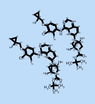 CC(C)(C)OC(=O)N1C[C@@H]2C[C@H]1CN2c1ccc2ncnc(Nc3ccc(OCC4(F)CC4)c(Cl)c3F)c2n1.CC(C)(C)OC(=O)N1C[C@@H]2C[C@H]1CN2c1ccc2ncnc(Nc3ccc(OCC4(F)CC4)c(Cl)c3F)c2n1